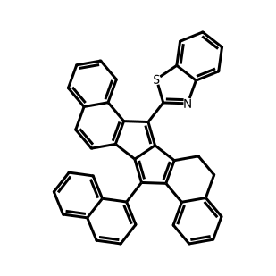 c1ccc2c(c1)CCC1=C2C(c2cccc3ccccc23)=C2C1=C(c1nc3ccccc3s1)c1c2ccc2ccccc12